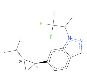 CC(C)[C@H]1C[C@@H]1c1ccc2cnn(C(C)C(F)(F)F)c2c1